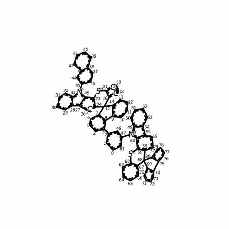 c1cc(-c2cccc3c2-c2ccccc2C32c3ccccc3Sc3c2ccc2c4ccccc4n(-c4ccc5ccccc5c4)c32)cc(-n2c3ccccc3c3ccc4c(c32)Sc2ccccc2C42c3ccccc3-c3ccccc32)c1